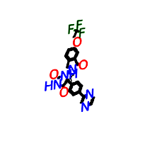 O=C1NC(=O)[C@](CN2Cc3ccc(OCC(F)(F)F)cc3C2=O)(c2ccc(-c3cnccn3)cc2)N1